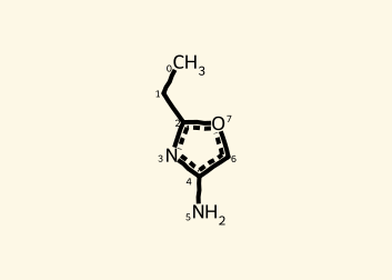 CCc1nc(N)co1